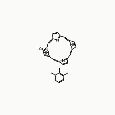 C1=Cc2cc3ccc(cc4nc(cc5ccc(cc1n2)[nH]5)C=C4)[nH]3.Cc1cccc(C)c1C.[Zn]